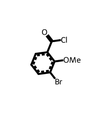 COc1c(Br)cccc1C(=O)Cl